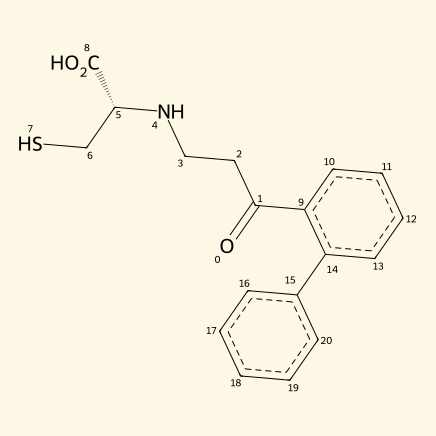 O=C(CCN[C@H](CS)C(=O)O)c1ccccc1-c1ccccc1